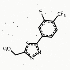 OCc1nnc(-c2ccc(C(F)(F)F)c(F)c2)s1